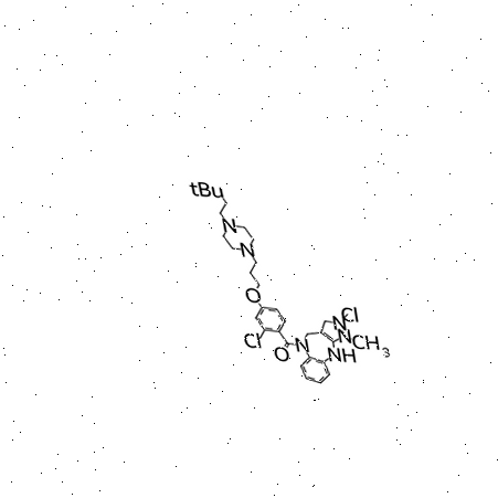 CN1C2=C(CN(C(=O)c3ccc(OCCCN4CCN(CCC(C)(C)C)CC4)cc3Cl)c3ccccc3N2)CN1Cl